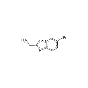 CC(C)c1ccc2nc(CN)cn2c1